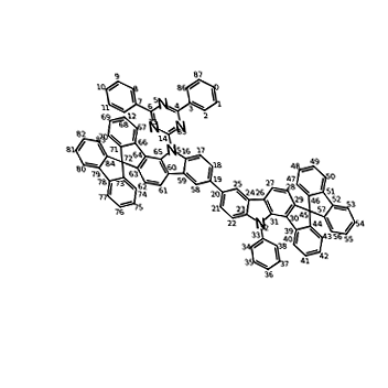 c1ccc(-c2nc(-c3ccccc3)nc(-n3c4ccc(-c5ccc6c(c5)c5ccc7c(c5n6-c5ccccc5)-c5ccccc5C75c6ccccc6-c6ccccc65)cc4c4ccc5c(c43)-c3ccccc3C53c4ccccc4-c4ccccc43)n2)cc1